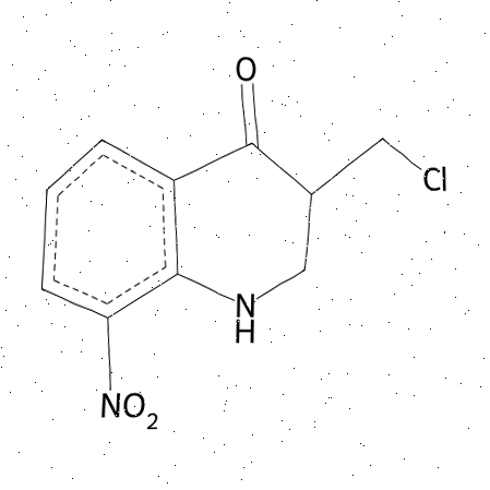 O=C1c2cccc([N+](=O)[O-])c2NCC1CCl